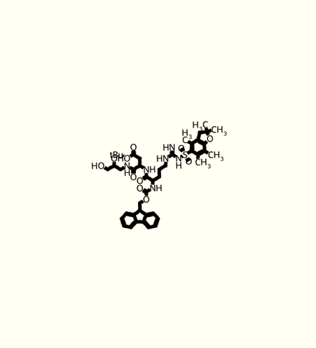 Cc1c(C)c(S(=O)(=O)NC(=N)NCCCC(NC(=O)OCC2c3ccccc3-c3ccccc32)C(=O)NC(CC(=O)OC(C)(C)C)C(=O)NCC(O)CO)c(C)c2c1OC(C)(C)C2